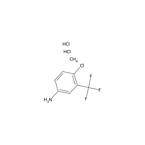 C.Cl.Cl.Nc1ccc(Cl)c(C(F)(F)F)c1